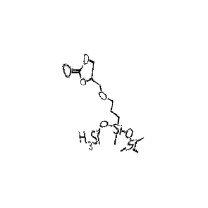 C[Si](C)(C)O[Si](C)(CCCOCC1COC(=O)O1)O[SiH3]